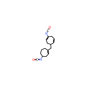 O=C=NC1=CCC(CC2=CCC(N=C=O)CCC2)C=CC1